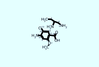 CCC(N)CN.COc1cc(N)c(Cl)cc1C(=O)O